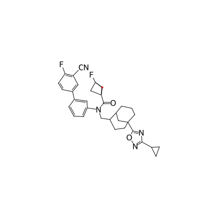 N#Cc1cc(-c2cccc(N(CC3CCC4(c5nc(C6CC6)no5)CCCC3C4)C(=O)C34CC(F)(C3)C4)c2)ccc1F